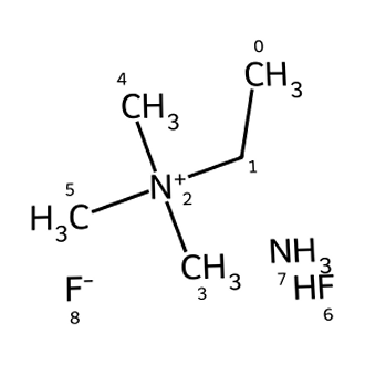 CC[N+](C)(C)C.F.N.[F-]